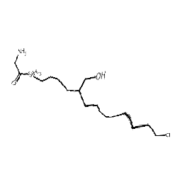 NCC(=O)[SiH2]CCCC(CO)CCCCCCCCl